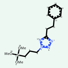 CO[Si](CCCn1nnc(CCc2ccccc2)n1)(OC)OC